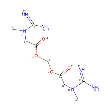 CN(CC(=O)OCOC(=O)CN(C)C(=N)N)C(=N)N